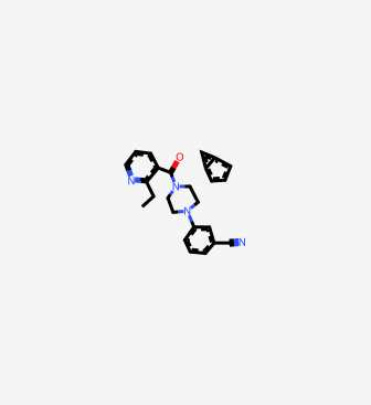 CCc1ncccc1C(=O)N1CCN(c2cccc(C#N)c2)CC1.c1cc2cc-2c1